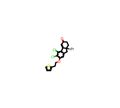 CCCC12CCC(=O)C=C1c1c(cc(OCCc3cccs3)c(Cl)c1Cl)C2